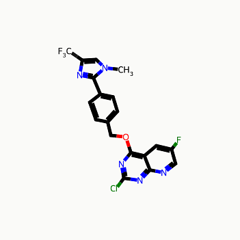 Cn1cc(C(F)(F)F)nc1-c1ccc(COc2nc(Cl)nc3ncc(F)cc23)cc1